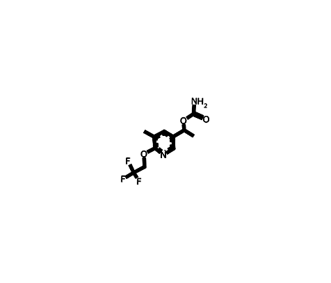 Cc1cc(C(C)OC(N)=O)cnc1OCC(F)(F)F